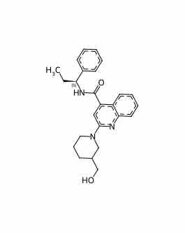 CC[C@H](NC(=O)c1cc(N2CCCC(CO)C2)nc2ccccc12)c1ccccc1